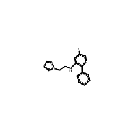 Clc1cnc(-c2ccccc2)c(NCCn2cncn2)c1